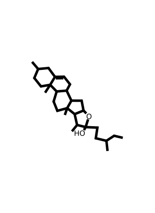 CCC(C)CCC1(O)OC2CC3C4CC=C5CC(C)CCC5(C)C4CCC3(C)C2C1C